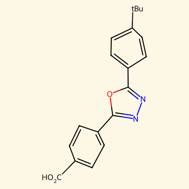 CC(C)(C)c1ccc(-c2nnc(-c3ccc(C(=O)O)cc3)o2)cc1